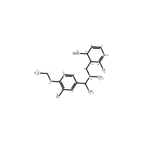 CC(c1cnc(OCC(F)(F)F)c(Cl)c1)N(C)CC1C(Cl)=NC=CC1C=O